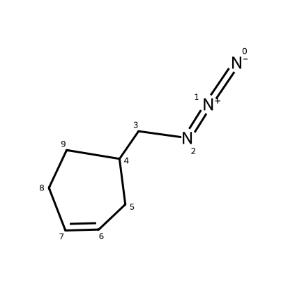 [N-]=[N+]=NCC1CC=CCC1